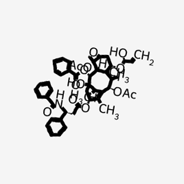 C=C[C@H](O)O[C@H]1CC2OC[C@@]2(OC(C)=O)[C@H]2[C@H](OC(=O)c3ccccc3)C3(O)C[C@H](OC(=O)C[C@@H](NC(=O)c4ccccc4)c4ccccc4)C(C)=C([C@@H](OC(C)=O)C(I)C12C)[C@H]3C